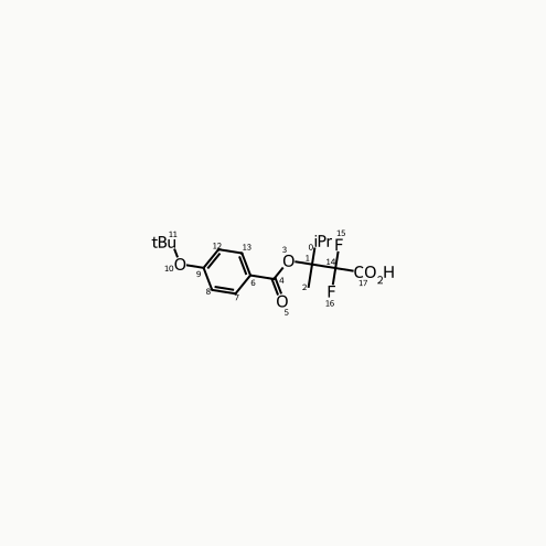 CC(C)C(C)(OC(=O)c1ccc(OC(C)(C)C)cc1)C(F)(F)C(=O)O